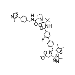 COC(=O)CC1N=C(c2ccc(-c3ccc(C(=O)NC(C(=O)N4CCCC4C(=O)NCc4ccc(-c5scnc5C)cc4)C(C)(C)C)cc3F)cc2)c2c(sc(C)c2C)-n2c(C)nnc21